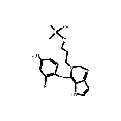 CC(C)(C)[Si](C)(C)OCCCN1CN=c2cc[nH]c2=C1Oc1ccc([N+](=O)[O-])cc1F